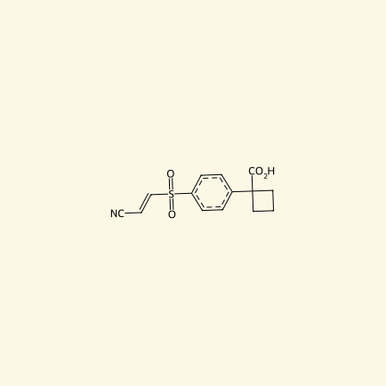 N#CC=CS(=O)(=O)c1ccc(C2(C(=O)O)CCC2)cc1